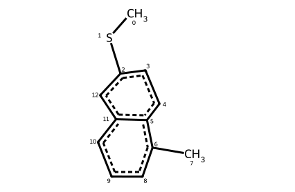 CSc1ccc2c(C)cccc2c1